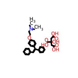 CCN(CC)CCOc1ccc(/C(=C\c2ccccc2)c2ccccc2)cc1.O=C(O)CC(O)(CC(=O)O)C(=O)O